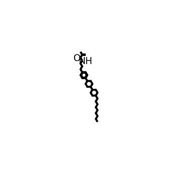 C=C(C)C(=O)NCCCc1ccc(C2CCC(C3CCC(CCCCCCCCC)CC3)CC2)cc1